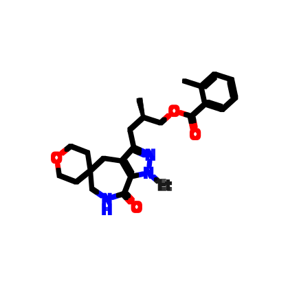 CCn1nc(C[C@@H](C)COC(=O)c2ccccc2C)c2c1C(=O)NCC1(CCOCC1)C2